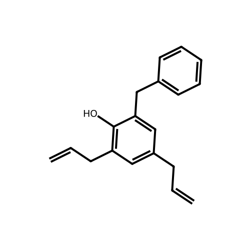 C=CCc1cc(CC=C)c(O)c(Cc2ccccc2)c1